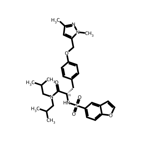 Cc1cc(COc2ccc(C[C@H](NS(=O)(=O)c3ccc4occc4c3)C(=O)N(CC(C)C)CC(C)C)cc2)n(C)n1